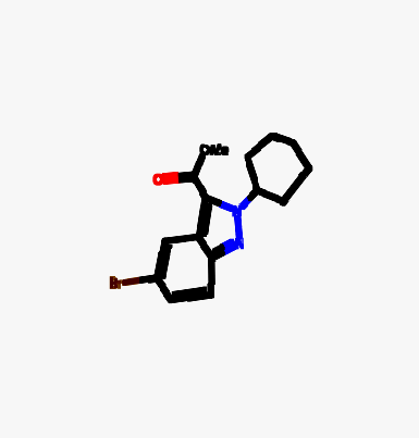 COC(=O)c1c2cc(Br)ccc2nn1C1CCCCC1